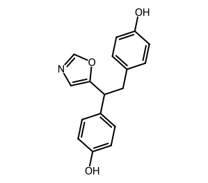 Oc1ccc(CC(c2ccc(O)cc2)c2cnco2)cc1